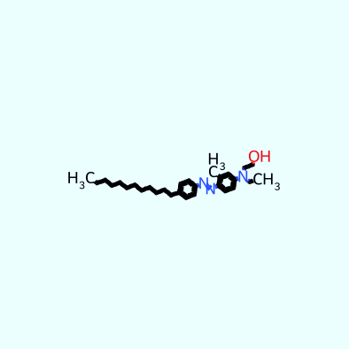 CCCCCCCCCCCCc1ccc(N=Nc2ccc(N(CC)CCO)cc2C)cc1